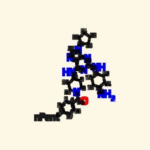 CCCCCc1ccc(C(=O)N2CCC(Nc3nc(NC4CCC(N)CC4)nc4c3ncn4C3CCCC3)CC2)cc1